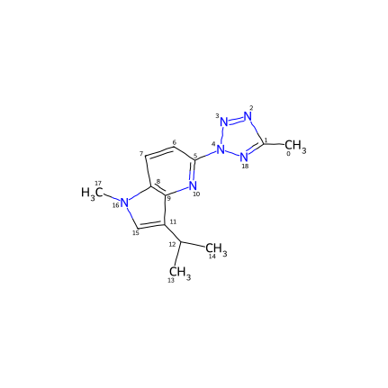 Cc1nnn(-c2ccc3c(n2)c(C(C)C)cn3C)n1